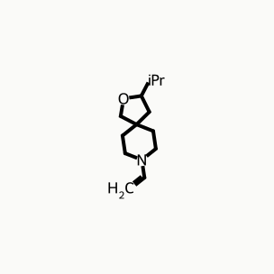 C=CN1CCC2(CC1)COC(C(C)C)C2